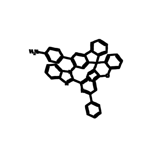 Nc1ccc(-c2cc3c(cc2-n2c(-c4cccc(-c5ccccc5)n4)nc4ccccc42)C2(c4ccccc4Oc4ccccc42)c2ccccc2-3)cc1